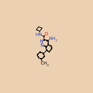 Cc1cccc(-c2cccc3c(N)c(C(=O)NC4CCC4)nnc23)c1